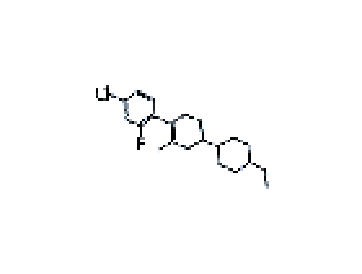 CCC1CCC(C2CCC(c3ccc(Cl)cc3F)=C(C)C2)CC1